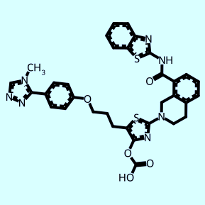 Cn1cnnc1-c1ccc(OCCCc2sc(N3CCc4cccc(C(=O)Nc5nc6ccccc6s5)c4C3)nc2OC(=O)O)cc1